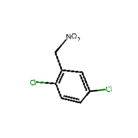 O=[N+]([O-])Cc1cc(Cl)ccc1Cl